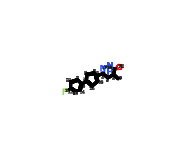 CC1CC(c2ccc(-c3ccc(F)cc3)cc2)=NNC1=O